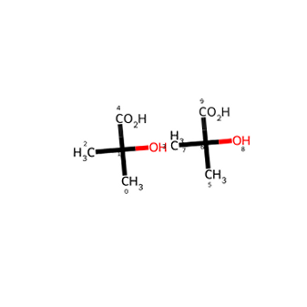 CC(C)(O)C(=O)O.CC(C)(O)C(=O)O